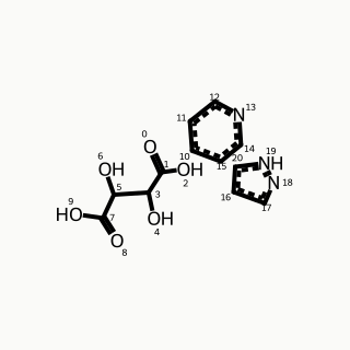 O=C(O)C(O)C(O)C(=O)O.c1ccncc1.c1cn[nH]c1